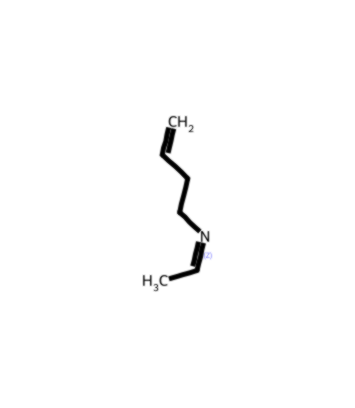 C=CCC/N=C\C